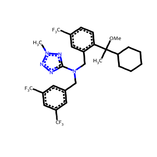 COC(C)(c1ccc(C(F)(F)F)cc1CN(Cc1cc(C(F)(F)F)cc(C(F)(F)F)c1)c1nnn(C)n1)C1CCCCC1